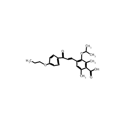 CCCOc1ccc(C(=O)/C=C/c2cc(C)c(C(=O)O)c(C)c2OC(C)C)cc1